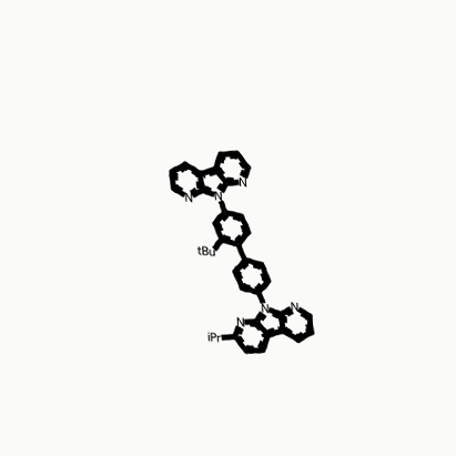 CC(C)c1ccc2c3cccnc3n(-c3ccc(-c4ccc(-n5c6ncccc6c6cccnc65)cc4C(C)(C)C)cc3)c2n1